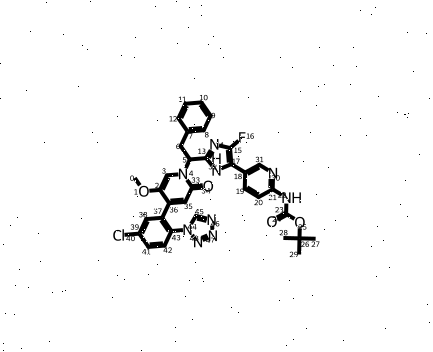 COc1cn(C(Cc2ccccc2)c2nc(F)c(-c3ccc(NC(=O)OC(C)(C)C)nc3)[nH]2)c(=O)cc1-c1cc(Cl)ccc1-n1cnnn1